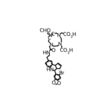 O=CCN1CCN(CC(=O)O)CCN(CC(=O)O)CCN(CC(=O)NCCc2ccc3c(c2)C2C=CCC2C(c2cc4c(cc2Br)OCO4)N3)CC1